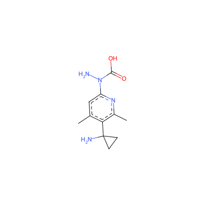 Cc1cc(N(N)C(=O)O)nc(C)c1C1(N)CC1